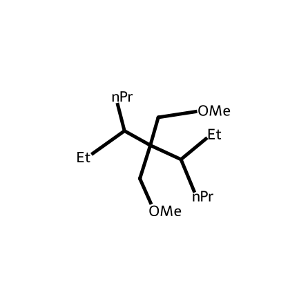 CCCC(CC)C(COC)(COC)C(CC)CCC